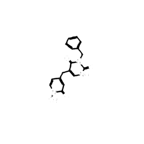 Cn1ccc(Cc2c[nH]c(=S)n(Cc3ccccc3)c2=O)cc1=O